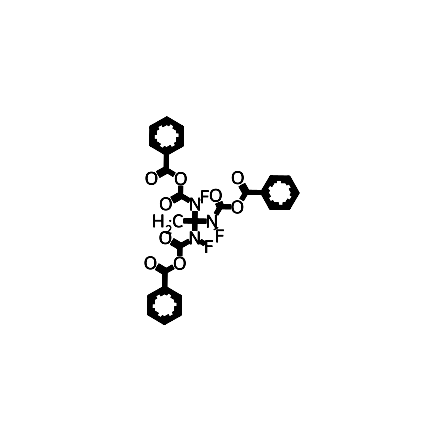 [CH2]C(N(F)C(=O)OC(=O)c1ccccc1)(N(F)C(=O)OC(=O)c1ccccc1)N(F)C(=O)OC(=O)c1ccccc1